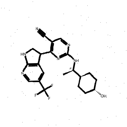 C[C@@H](Nc1ncc(C#N)c(C2CNc3ncc(C(F)(F)F)cc32)n1)[C@H]1CC[C@H](O)CC1